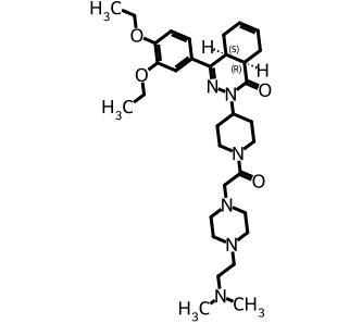 CCOc1ccc(C2=NN(C3CCN(C(=O)CN4CCN(CCN(C)C)CC4)CC3)C(=O)[C@@H]3CC=CC[C@H]23)cc1OCC